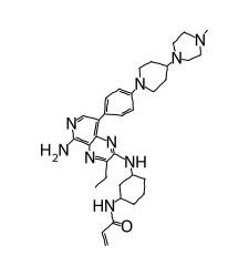 C=CC(=O)NC1CCCC(Nc2nc3c(-c4ccc(N5CCC(N6CCN(C)CC6)CC5)cc4)cnc(N)c3nc2CC)C1